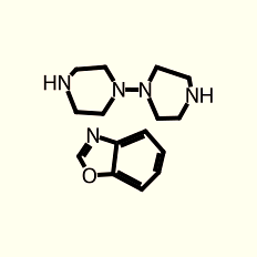 C1CN(N2CCNCC2)CCN1.c1ccc2ocnc2c1